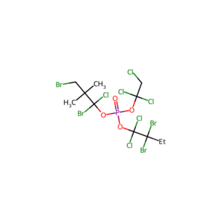 CCC(Br)(Br)C(Cl)(Cl)OP(=O)(OC(Cl)(Cl)CCl)OC(Cl)(Br)C(C)(C)CBr